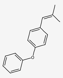 CC(C)=Cc1ccc(Oc2ccccc2)cc1